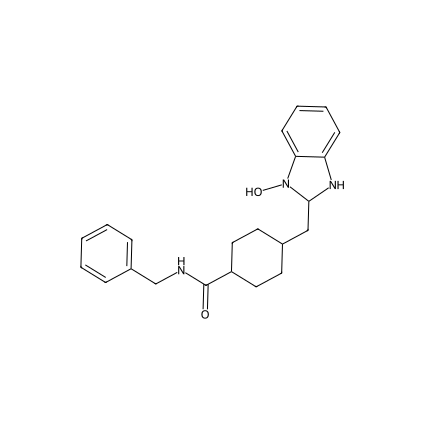 O=C(NCc1ccccc1)C1CCC(CC2Nc3ccccc3N2O)CC1